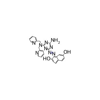 Nc1nc(/N=N/c2c(O)ccc3ccc(O)cc23)nc(N(Cc2ccccn2)Cc2ccccn2)n1